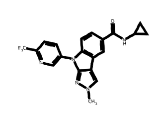 Cn1cc2c3cc(C(=O)NC4CC4)ccc3n(-c3ccc(C(F)(F)F)nc3)c2n1